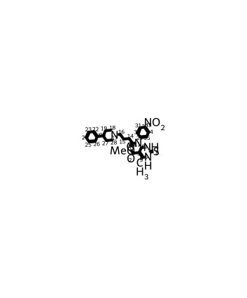 COC(=O)C1=C(C)NC(=S)NC1N(C(=O)CCCN1CCC(c2ccccc2)CC1)c1ccc([N+](=O)[O-])cc1